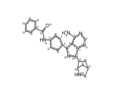 Nc1ncnc2c1c(-c1ccc(NC(=O)c3ccccc3)cc1)nn2C1CC2CNC1C2